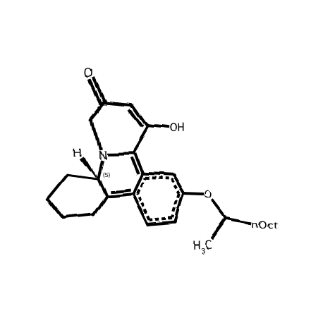 CCCCCCCCC(C)Oc1ccc2c(c1)=C1C(O)=CC(=O)CN1[C@H]1CCCCC=21